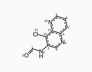 O=CNc1cnc2cccnc2c1Cl